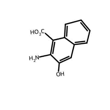 Nc1c(O)cc2ccccc2c1C(=O)O